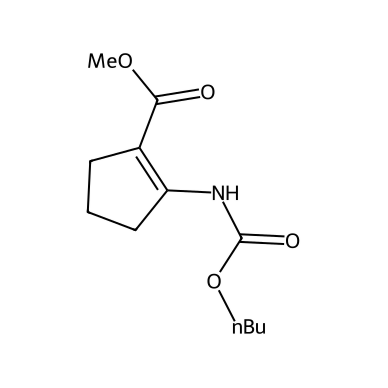 CCCCOC(=O)NC1=C(C(=O)OC)CCC1